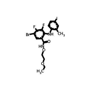 CCOCCONC(=O)c1cc(Br)c(F)c(F)c1Nc1ccc(I)cc1C